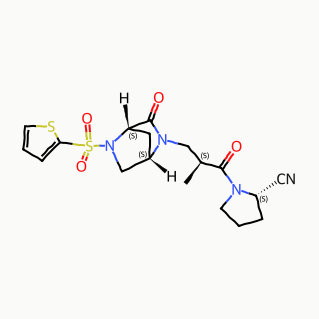 C[C@@H](CN1C(=O)[C@@H]2C[C@H]1CN2S(=O)(=O)c1cccs1)C(=O)N1CCC[C@H]1C#N